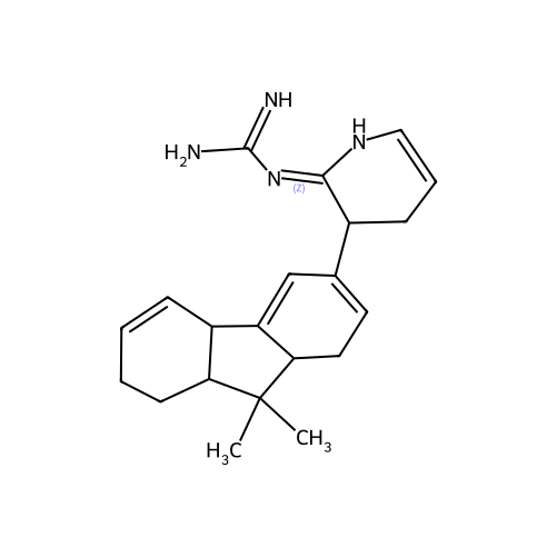 CC1(C)C2CC=C(C3CC=CN/C3=N\C(=N)N)C=C2C2C=CCCC21